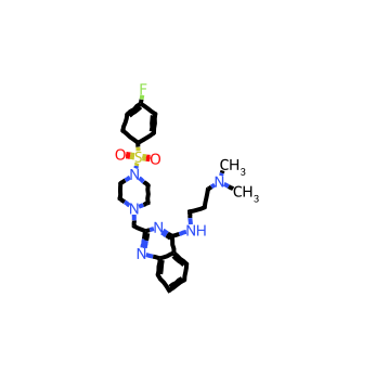 CN(C)CCCNc1nc(CN2CCN(S(=O)(=O)C3C=CC(F)=CC3)CC2)nc2ccccc12